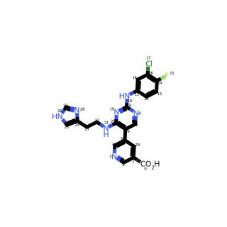 O=C(O)c1cncc(-c2cnc(Nc3ccc(F)c(Cl)c3)nc2NCCc2c[nH]cn2)c1